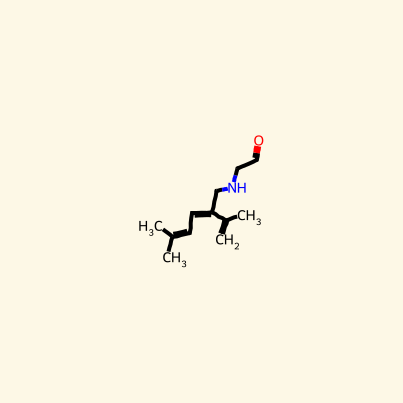 C=C(C)/C(=C\C=C(C)C)CNCC=O